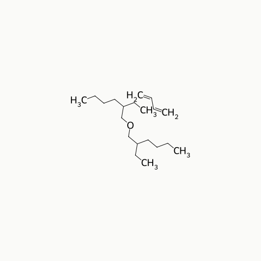 C=CC=C.CCCCC(CC)COCC(CC)CCCC